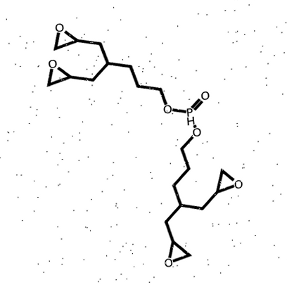 O=[PH](OCCCC(CC1CO1)CC1CO1)OCCCC(CC1CO1)CC1CO1